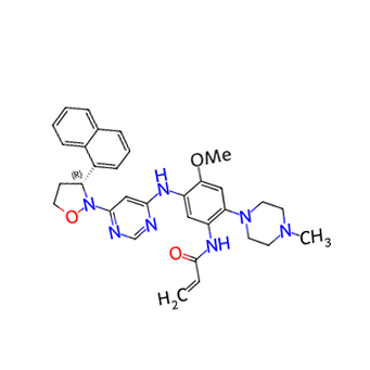 C=CC(=O)Nc1cc(Nc2cc(N3OCC[C@@H]3c3cccc4ccccc34)ncn2)c(OC)cc1N1CCN(C)CC1